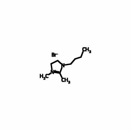 CCCCN1CC[N+](C)=C1C.[Br-]